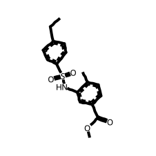 CCc1ccc(S(=O)(=O)Nc2cc(C(=O)OC)ccc2C)cc1